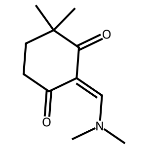 CN(C)C=C1C(=O)CCC(C)(C)C1=O